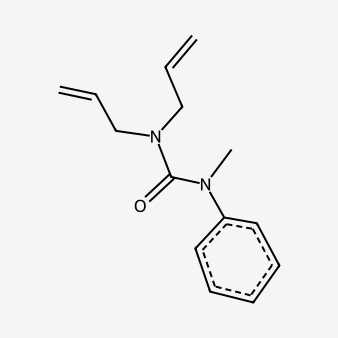 C=CCN(CC=C)C(=O)N(C)c1ccccc1